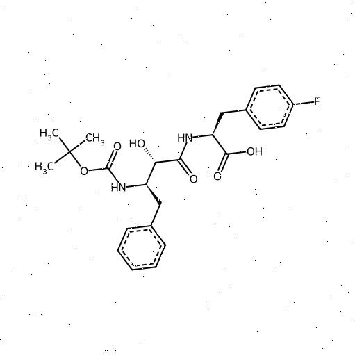 CC(C)(C)OC(=O)N[C@H](Cc1ccccc1)[C@H](O)C(=O)N[C@@H](Cc1ccc(F)cc1)C(=O)O